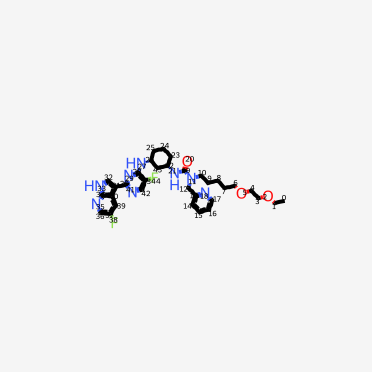 CCOCCOCCCCCN(Cc1ccccn1)C(=O)N[C@@H]1CCC[C@H](Nc2nc(-c3c[nH]c4ncc(F)cc34)ncc2F)C1